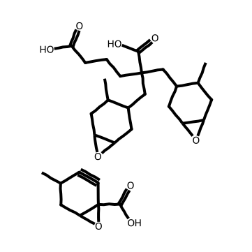 CC1C#CC2(C(=O)O)OC2C1.CC1CC2OC2CC1CC(CCCC(=O)O)(CC1CC2OC2CC1C)C(=O)O